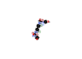 COc1ccc(NC(=O)C(N=Nc2ccc(-c3ccc(N=NC(C(C)=O)C(=O)Nc4ccccc4)c(Cl)c3)cc2Cl)C(C)=O)cc1